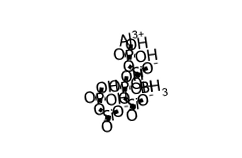 B.O=[Si]([O-])OP(=O)(O)O.O=[Si]([O-])OP(=O)(O)O.O=[Si]([O-])OP(=O)(O)O.[Al+3]